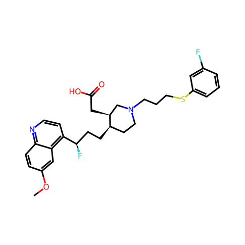 COc1ccc2nccc([C@H](F)CC[C@@H]3CCN(CCCSc4cccc(F)c4)C[C@@H]3CC(=O)O)c2c1